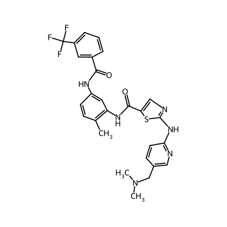 Cc1ccc(NC(=O)c2cccc(C(F)(F)F)c2)cc1NC(=O)c1cnc(Nc2ccc(CN(C)C)cn2)s1